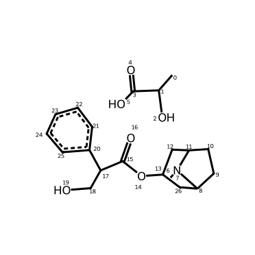 CC(O)C(=O)O.CN1C2CCC1CC(OC(=O)C(CO)c1ccccc1)C2